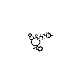 Cc1cnc(NC(=O)CN2CCC[C@](c3ccccc3)(N(C)C)CCCC(CC3CCC3)C(C)C2=O)nc1